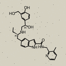 CC[C@H](Cc1ccc2[nH]c(C(=O)NCc3ncccc3C)cc2c1)NC[C@H](O)c1ccc(O)c(CO)c1